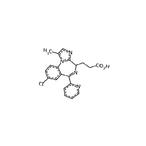 Cc1cnc2n1-c1ccc(Cl)cc1C(c1ccccn1)=NC2CCC(=O)O